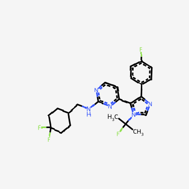 CC(C)(F)n1cnc(-c2ccc(F)cc2)c1-c1ccnc(NCC2CCC(F)(F)CC2)n1